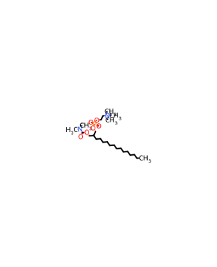 CCCCCCCCCCCCCCC(COC(=O)N(C)C)COP(=O)([O-])OCC[N+](C)(C)C